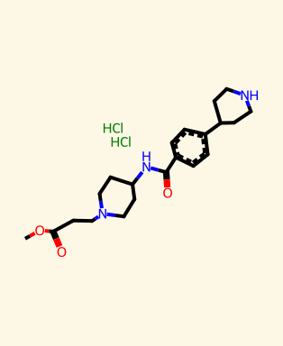 COC(=O)CCN1CCC(NC(=O)c2ccc(C3CCNCC3)cc2)CC1.Cl.Cl